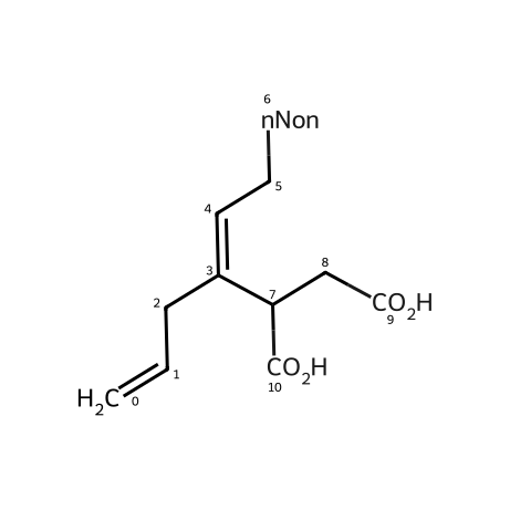 C=CCC(=CCCCCCCCCCC)C(CC(=O)O)C(=O)O